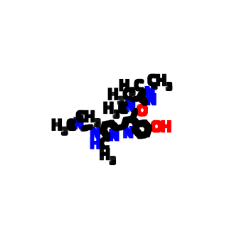 CCn1ncc([C@H](C)N(C)C(=O)c2cc(-c3ccc(NCCN(C)C)c(C)n3)nc3ccc(O)cc23)c1C